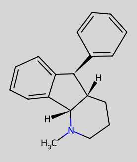 CN1CCC[C@H]2[C@H](c3ccccc3)c3ccccc3[C@H]21